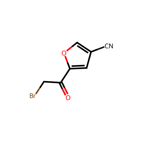 N#Cc1coc(C(=O)CBr)c1